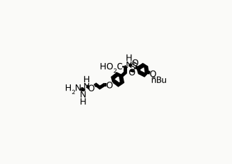 CCCCOc1ccc(S(=O)(=O)N[C@@H](Cc2ccc(OCCCONC(=N)N)cc2)C(=O)O)cc1